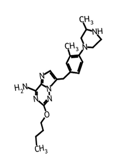 CCCCOc1nc(N)c2ncc(Cc3ccc(N4CCNC(C)C4)c(C)c3)n2n1